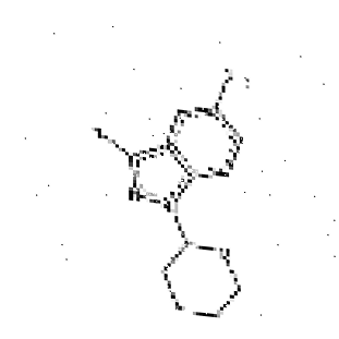 Nc1ccc2c(c1)c(Cl)nn2C1CCCCO1